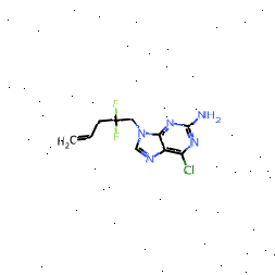 C=CCC(F)(F)Cn1cnc2c(Cl)nc(N)nc21